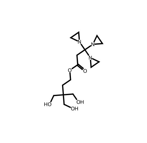 O=C(CC(N1CC1)(N1CC1)N1CC1)OCCC(CO)(CO)CO